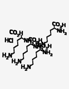 Cl.NCCCCC(N)C(=O)O.NCCCCC(N)C(=O)O.NCCCCC(N)C(=O)O.NCCCCC(N)C(=O)O